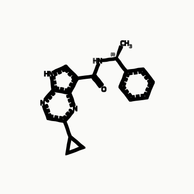 C[C@H](NC(=O)c1c[nH]c2ncc(C3CC3)nc12)c1ccccc1